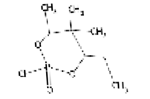 CCC1OP(=O)(Cl)OC(C)C1(C)C